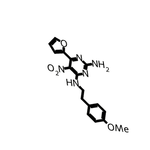 COc1ccc(CCNc2nc(N)nc(-c3ccco3)c2[N+](=O)[O-])cc1